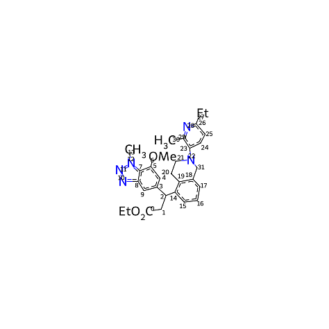 CCOC(=O)CC(c1cc(OC)c2c(c1)nnn2C)c1cccc2c1CCN(c1ccc(CC)nc1C)C2